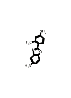 Nc1ccc(-c2nc3cc(N)ccc3o2)c(C(F)(F)F)c1